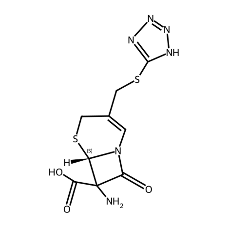 NC1(C(=O)O)C(=O)N2C=C(CSc3nnn[nH]3)CS[C@H]21